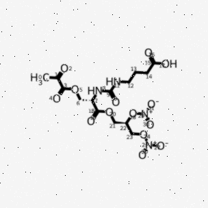 CC(=O)C(=O)OC[C@H](NC(=O)NCCCC(=O)O)C(=O)OC[C@H](CO[N+](=O)[O-])O[N+](=O)[O-]